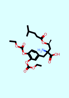 CCOC(=O)Oc1ccc(CC(N)(C[C@H](C)OC(=O)CCC(C)C)C(=O)O)cc1OC(=O)OCC